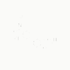 O=C(O)c1cc(-c2ccc(C(=O)N3CCOCC3)c(Cl)c2)cc2c1OCCCC2